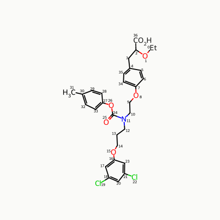 CCOC(Cc1ccc(OCCN(CCCOc2cc(Cl)cc(Cl)c2)C(=O)Oc2ccc(C)cc2)cc1)C(=O)O